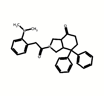 CN(C)c1ccccc1CC(=O)N1CC2C(=O)CCC(c3ccccc3)(c3ccccc3)C2C1